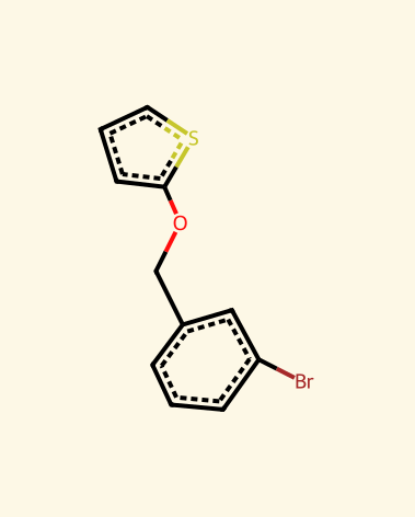 Brc1cccc(COc2cccs2)c1